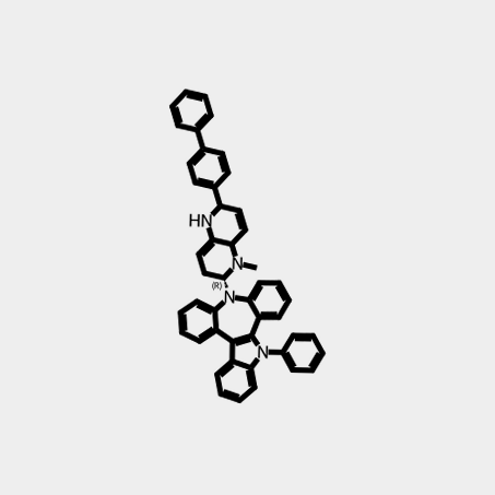 CN1C2C=CC(c3ccc(-c4ccccc4)cc3)NC2=CC[C@H]1N1c2ccccc2-c2c(n(-c3ccccc3)c3ccccc23)-c2ccccc21